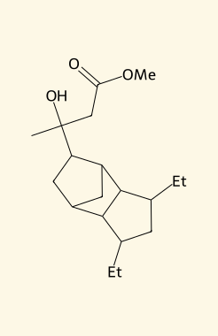 CCC1CC(CC)C2C3CC(CC3C(C)(O)CC(=O)OC)C12